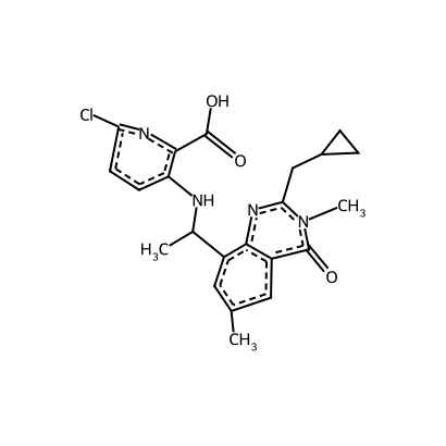 Cc1cc(C(C)Nc2ccc(Cl)nc2C(=O)O)c2nc(CC3CC3)n(C)c(=O)c2c1